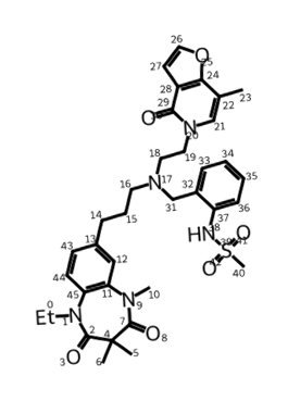 CCN1C(=O)C(C)(C)C(=O)N(C)c2cc(CCCN(CCn3cc(C)c4occc4c3=O)Cc3ccccc3NS(C)(=O)=O)ccc21